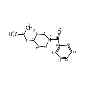 CC(C)CC1CCN(C(=O)c2ccccc2)CC1